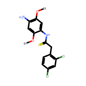 CCOc1cc(NC(=S)Cc2ccc(Cl)cc2Cl)c(OCC)cc1N